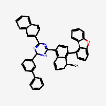 CC1CC=Cc2c(C3=NC(c4ccc5ccccc5c4)=NC(c4cccc(-c5ccccc5)c4)N3)ccc(-c3cccc4oc5ccccc5c34)c21